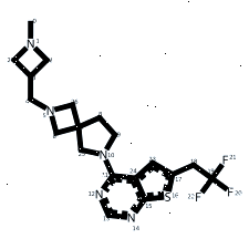 CN1CC(CN2CC3(CCN(c4ncnc5sc(CC(F)(F)F)cc45)C3)C2)C1